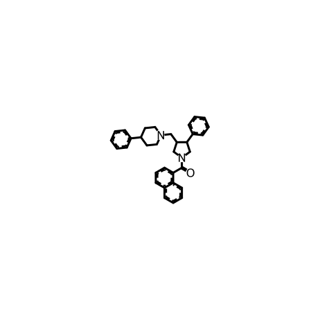 O=C(c1cccc2ccccc12)N1CC(CN2CCC(c3ccccc3)CC2)C(c2ccccc2)C1